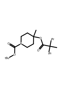 CC(C)C(C)(C(=O)OC1(C)CCN(C(=O)OC(C)(C)C)CC1)C(C)C